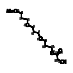 COCCCOCCCOCCCOC(=O)CC#N